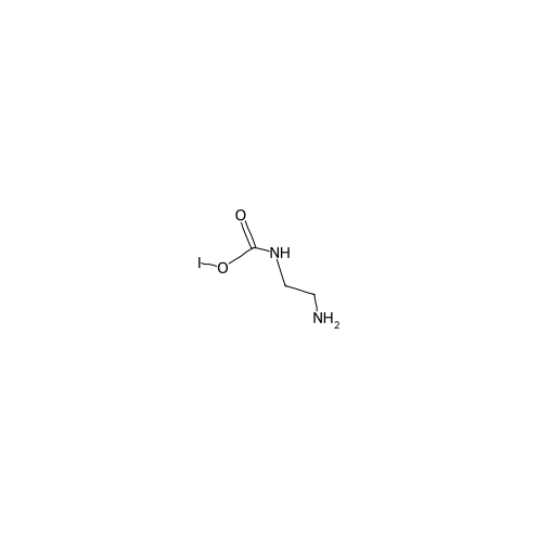 NCCNC(=O)OI